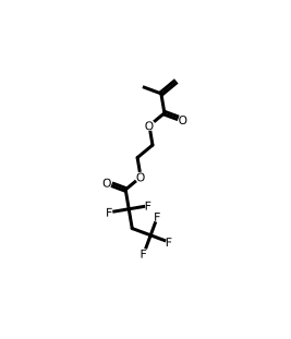 C=C(C)C(=O)OCCOC(=O)C(F)(F)CC(F)(F)F